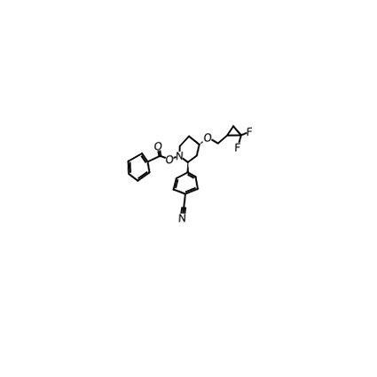 N#Cc1ccc([C@@H]2C[C@@H](OCC3CC3(F)F)CCN2OC(=O)c2ccccc2)cc1